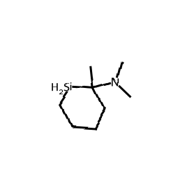 CN(C)C1(C)CCCC[SiH2]1